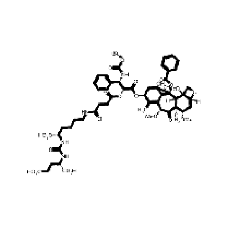 CO[C@H]1C(=O)[C@]2(C)[C@@H](OC)C[C@H]3OC[C@@]3(OC(C)=O)[C@H]2[C@@]2(OC(=O)c3ccccc3)[C@]3(O)C[C@H](OC(=O)[C@H](OC(=O)CCC(=O)NCCCC[C@H](NC(=O)N[C@@H](CCC(=O)O)C(=O)O)C(=O)O)[C@@H](NC(=O)OC(C)(C)C)c4ccccc4)C(C)=C1[C@@]32C